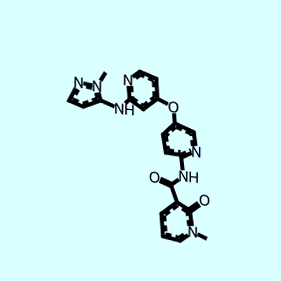 Cn1nccc1Nc1cc(Oc2ccc(NC(=O)c3cccn(C)c3=O)nc2)ccn1